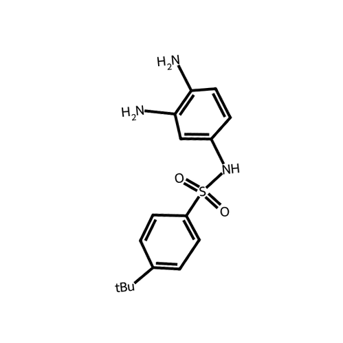 CC(C)(C)c1ccc(S(=O)(=O)Nc2ccc(N)c(N)c2)cc1